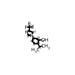 CC(C)c1ccc(-n2cnc(C(F)(F)F)c2)cc1O